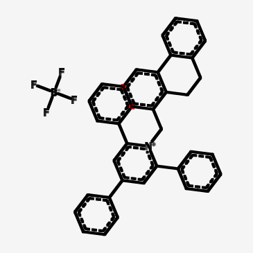 F[B-](F)(F)F.c1ccc(-c2cc(-c3ccccc3)[n+](Cc3cccc4c3CCc3ccccc3-4)c(-c3ccccc3)c2)cc1